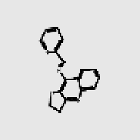 C(=Nc1c2c(nc3ccccc13)CCS2)c1ccccn1